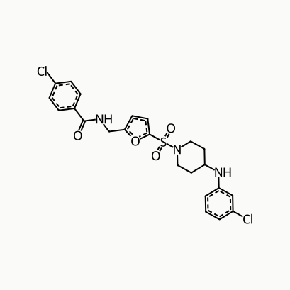 O=C(NCc1ccc(S(=O)(=O)N2CCC(Nc3cccc(Cl)c3)CC2)o1)c1ccc(Cl)cc1